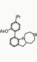 COc1cc(C(C)C)ccc1-c1cccc2c1N1CCNCCC1C2